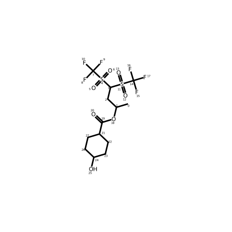 CC(CC(S(=O)(=O)C(F)(F)F)S(=O)(=O)C(F)(F)F)OC(=O)C1CCC(O)CC1